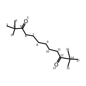 CC(C)(C)C(=O)CCCCCCC(=O)C(C)(C)C